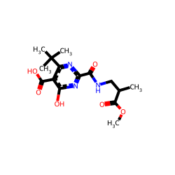 COC(=O)C(C)CNC(=O)c1nc(O)c(C(=O)O)c(C(C)(C)C)n1